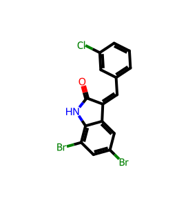 O=C1Nc2c(Br)cc(Br)cc2C1=Cc1cccc(Cl)c1